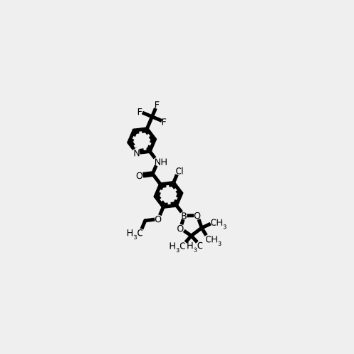 CCOc1cc(C(=O)Nc2cc(C(F)(F)F)ccn2)c(Cl)cc1B1OC(C)(C)C(C)(C)O1